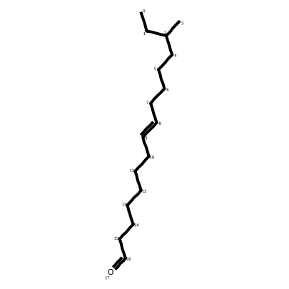 CCC(C)CCCC/C=C/CCCCCC[C]=O